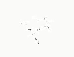 CC(C)(C#N)C=NO.CN(C(=O)O)C(=O)CCl